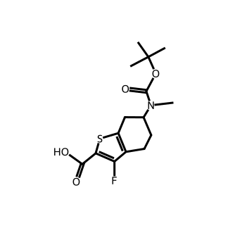 CN(C(=O)OC(C)(C)C)C1CCc2c(sc(C(=O)O)c2F)C1